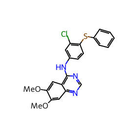 COc1cc2ncnc(Nc3ccc(Sc4ccccc4)c(Cl)c3)c2cc1OC